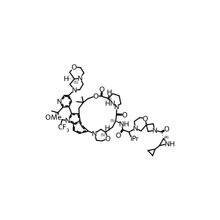 CO[C@@H](C)c1ncc(N2CCN3CCOC[C@@H]3C2)cc1-c1c2c3cc(ccc3n1CC(F)(F)F)N1CCO[C@@H](C[C@H](NC(=O)C(C(C)C)N3CCOC4(CN(C(=O)[C@@H]5NC5C5CC5)C4)C3)C(=O)N3CCC[C@H](N3)C(=O)OCC(C)(C)C2)C1